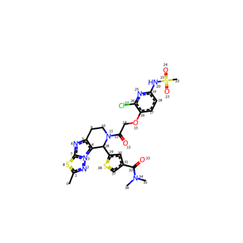 Cc1nn2c3c(nc2s1)CCN(C(=O)COc1ccc(NS(C)(=O)=O)nc1Cl)C3c1cc(C(=O)N(C)C)cs1